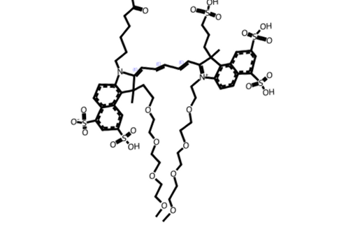 COCCOCCOCCOCC[N+]1=C(/C=C/C=C/C=C2/N(CCCCCC(=O)O)c3ccc4c(S(=O)(=O)[O-])cc(S(=O)(=O)O)cc4c3C2(C)CCOCCOCCOCCOC)C(C)(CCCS(=O)(=O)O)c2c1ccc1c(S(=O)(=O)O)cc(S(=O)(=O)O)cc21